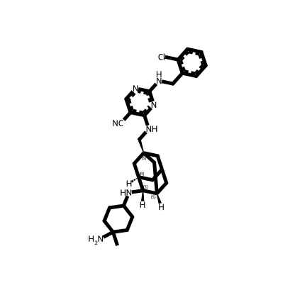 CC1(N)CCC(N[C@@H]2[C@@H]3CC4C[C@H]2C[C@@](CNc2nc(NCc5ccccc5Cl)ncc2C#N)(C4)C3)CC1